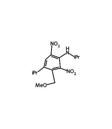 COCc1c(C(C)C)cc([N+](=O)[O-])c(NC(C)C)c1[N+](=O)[O-]